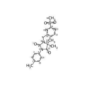 Cc1ccc(N2C(=O)N(Cc3ccnc(S(C)(=O)=O)n3)C(C)(C)C2=O)cc1